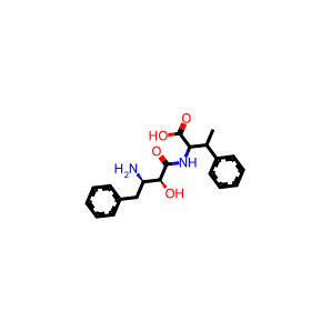 CC(c1ccccc1)C(NC(=O)[C@@H](O)[C@H](N)Cc1ccccc1)C(=O)O